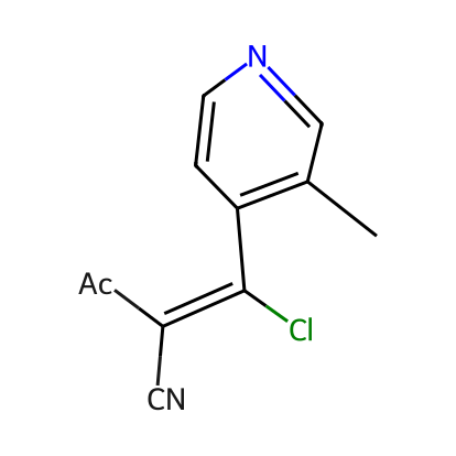 CC(=O)/C(C#N)=C(/Cl)c1ccncc1C